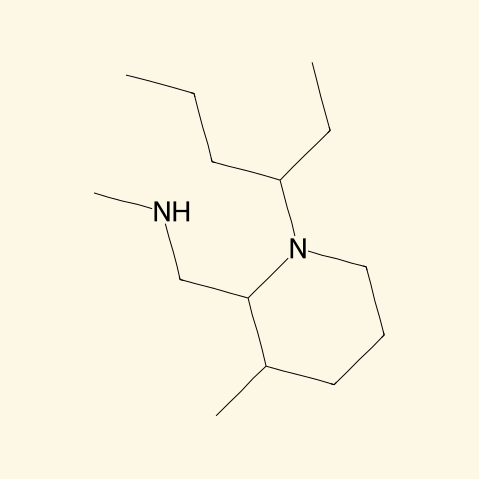 CCCC(CC)N1CCCC(C)C1CNC